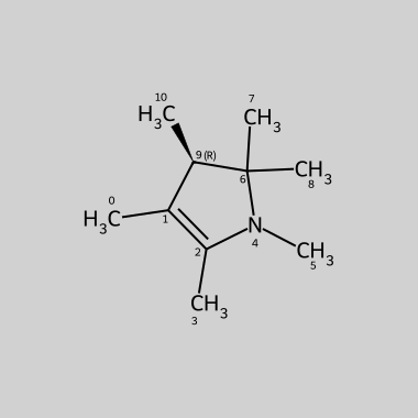 CC1=C(C)N(C)C(C)(C)[C@@H]1C